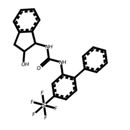 O=C(Nc1cc(S(F)(F)(F)(F)F)ccc1-c1ccccc1)NC1c2ccccc2CC1O